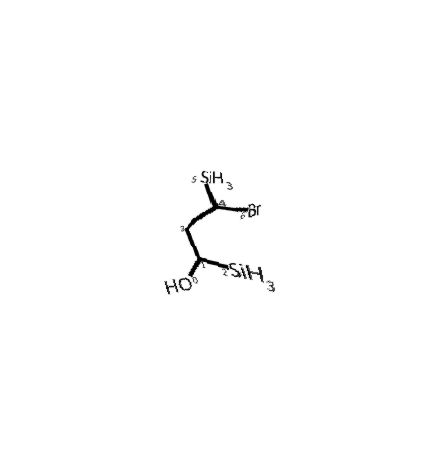 OC([SiH3])CC([SiH3])Br